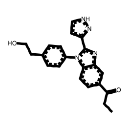 CCC(=O)c1ccc2c(c1)nc(-c1cc[nH]n1)n2-c1ccc(CCO)cc1